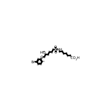 O=C(O)CCCCCCNS(=O)(=O)CCCCC(O)COc1cccc(Br)c1